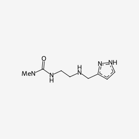 CNC(=O)NCCNCc1cc[nH]n1